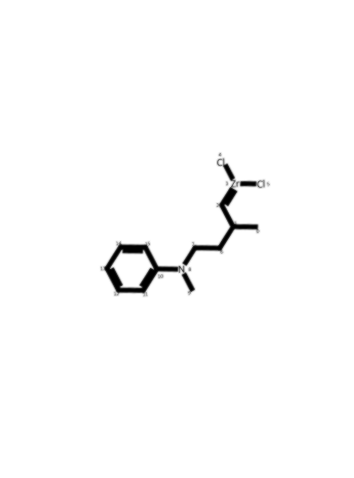 CC([CH]=[Zr]([Cl])[Cl])CCN(C)c1ccccc1